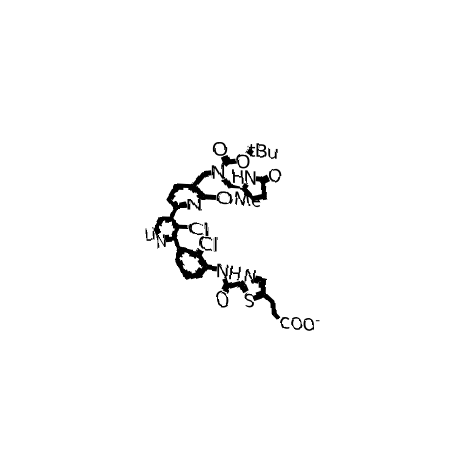 COc1nc(-c2ccnc(-c3cccc(NC(=O)c4ncc(CCC(=O)[O-])s4)c3Cl)c2Cl)ccc1CN(C[C@@H]1CCC(=O)N1)C(=O)OC(C)(C)C.[Li+]